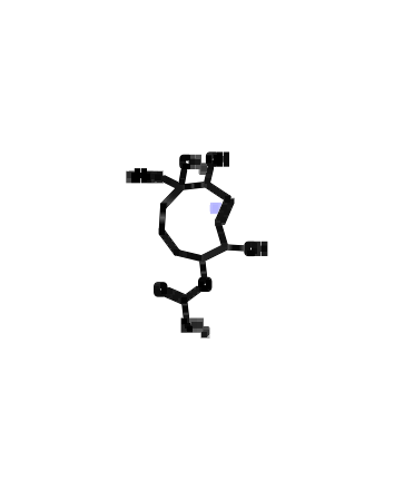 CCCCCCC1(C)CCCC(OC(N)=O)C(O)/C=C/C1O